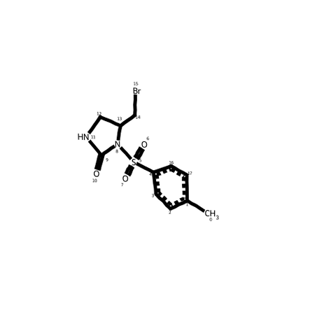 Cc1ccc(S(=O)(=O)N2C(=O)NCC2CBr)cc1